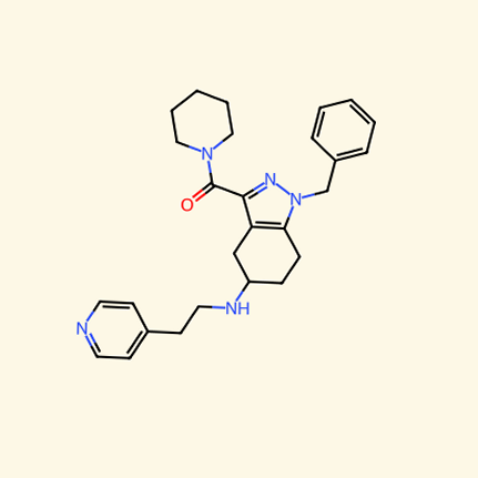 O=C(c1nn(Cc2ccccc2)c2c1CC(NCCc1ccncc1)CC2)N1CCCCC1